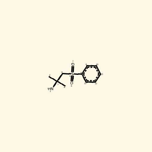 CC(C)([NH])CS(=O)(=O)c1ccccc1